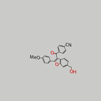 COc1ccc(-c2oc3cc(CO)ccc3c2C(=O)c2ccc(C#N)cc2)cc1